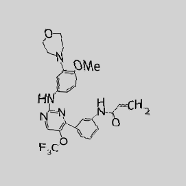 C=CC(=O)Nc1cccc(-c2nc(Nc3ccc(OC)c(N4CCOCC4)c3)ncc2OC(F)(F)F)c1